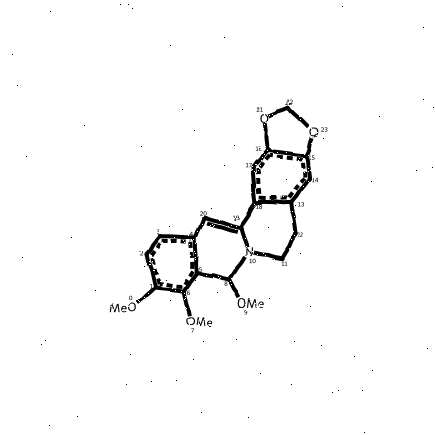 COc1ccc2c(c1OC)C(OC)N1CCc3cc4c(cc3C1=C2)OCO4